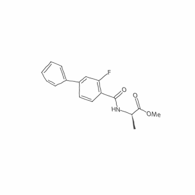 COC(=O)[C@@H](C)NC(=O)c1ccc(-c2ccccc2)cc1F